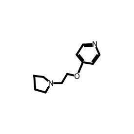 c1cc(OCCN2CCCC2)ccn1